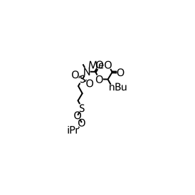 CCCCC(OC(=O)N(C)S(=O)(=O)CCCSOOC(C)C)C(=O)OC